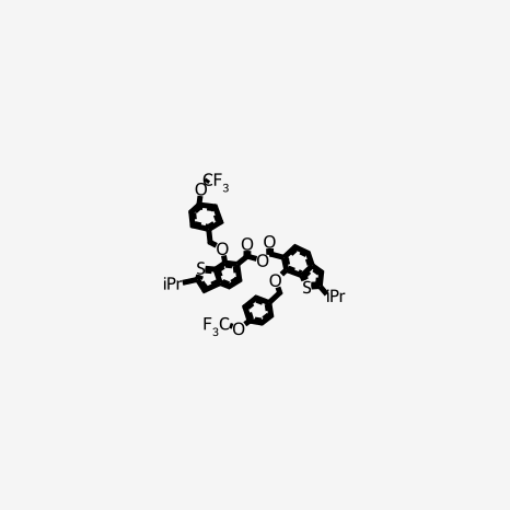 CC(C)c1cc2ccc(C(=O)OC(=O)c3ccc4cc(C(C)C)sc4c3OCc3ccc(OC(F)(F)F)cc3)c(OCc3ccc(OC(F)(F)F)cc3)c2s1